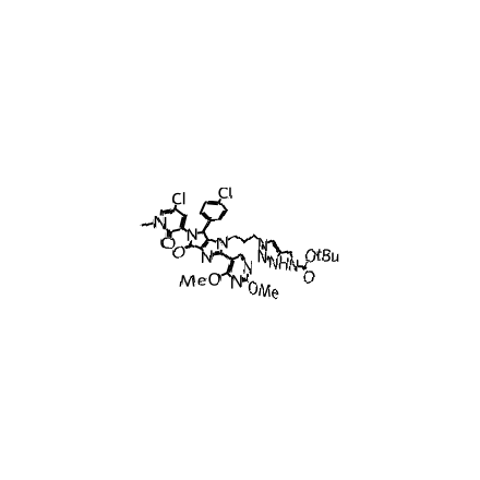 COc1ncc(-c2nc3c(n2CCCn2cc(CNC(=O)OC(C)(C)C)nn2)C(c2ccc(Cl)cc2)N(c2cc(Cl)cn(C)c2=O)C3=O)c(OC)n1